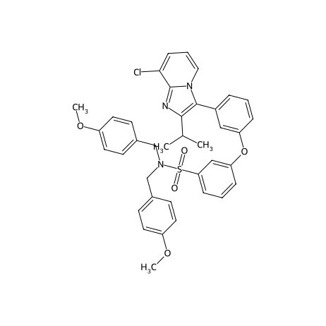 COc1ccc(CN(Cc2ccc(OC)cc2)S(=O)(=O)c2cccc(Oc3cccc(-c4c(C(C)C)nc5c(Cl)cccn45)c3)c2)cc1